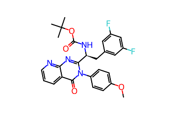 COc1ccc(-n2c([C@H](Cc3cc(F)cc(F)c3)NC(=O)OC(C)(C)C)nc3ncccc3c2=O)cc1